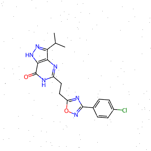 CC(C)c1n[nH]c2c(=O)[nH]c(CCc3nc(-c4ccc(Cl)cc4)no3)nc12